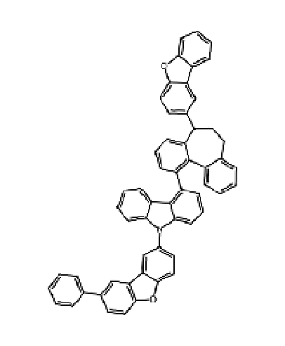 c1ccc(-c2ccc3oc4ccc(-n5c6ccccc6c6c(-c7cccc8c7-c7ccccc7CCC8c7ccc8oc9ccccc9c8c7)cccc65)cc4c3c2)cc1